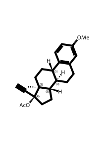 C#C[C@@]1(OC(C)=O)CC[C@H]2[C@@H]3CCc4cc(OC)ccc4[C@H]3CC[C@@]21C